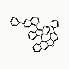 c1ccc(-c2ccc3c(-c4c5ccccc5c(-c5c6ccccc6cc6oc7ccc(-c8ccccc8)cc7c56)c5ccccc45)cccc3c2)cc1